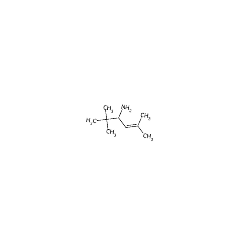 CC(C)=CC(N)C(C)(C)C